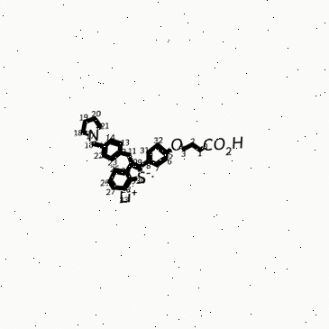 O=C(O)CCCOc1ccc(C2=C(Cc3ccc(CN4CCCC4)cc3)c3ccccc3[S-]2)cc1.[Li+]